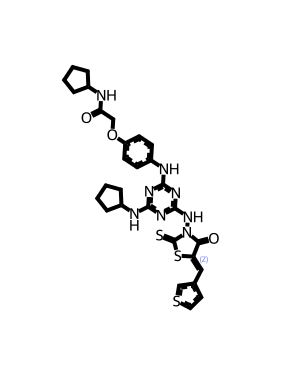 O=C(COc1ccc(Nc2nc(NC3CCCC3)nc(NN3C(=O)/C(=C/c4ccsc4)SC3=S)n2)cc1)NC1CCCC1